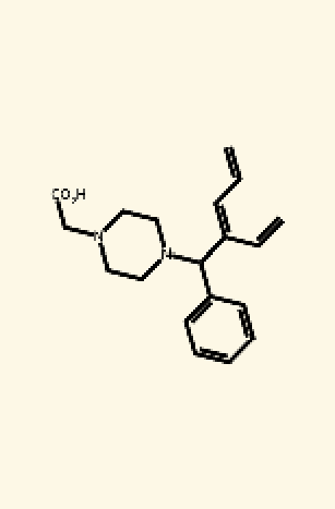 C=C/C=C(\C=C)C(c1ccccc1)N1CCN(CC(=O)O)CC1